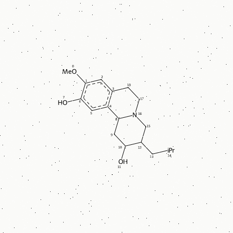 COc1cc2c(cc1O)C1CC(O)C(CC(C)C)CN1CC2